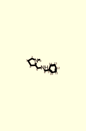 CN1CCCC1CNCc1ccccc1